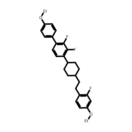 CCOc1ccc(-c2ccc(C3CCC(CCc4ccc(OCC)cc4F)CC3)c(F)c2F)cc1